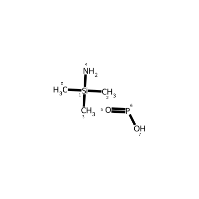 C[Si](C)(C)N.O=PO